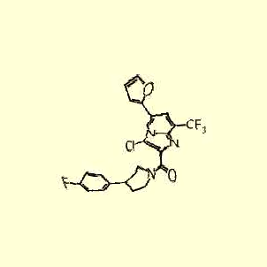 O=C(c1nc2c(C(F)(F)F)cc(-c3ccco3)cn2c1Cl)N1CCC(c2ccc(F)cc2)C1